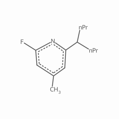 CCCC(CCC)c1cc(C)cc(F)n1